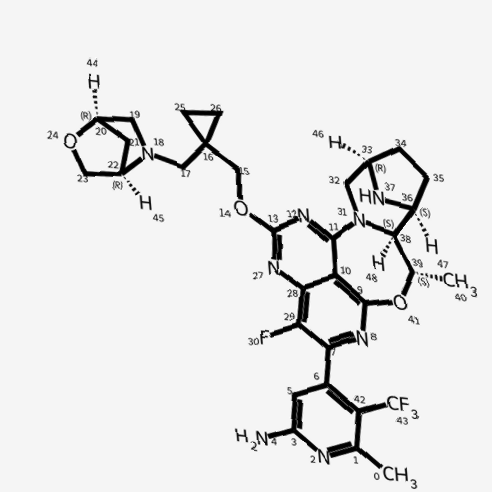 Cc1nc(N)cc(-c2nc3c4c(nc(OCC5(CN6C[C@H]7C[C@@H]6CO7)CC5)nc4c2F)N2C[C@H]4CC[C@H](N4)[C@H]2[C@H](C)O3)c1C(F)(F)F